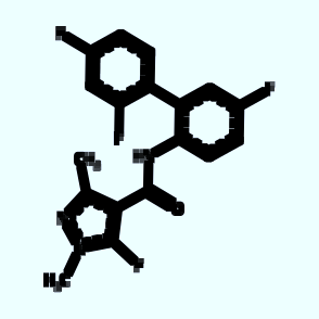 Cc1nn(C)c(F)c1C(=O)Nc1ccc(F)cc1-c1ccc(F)cc1F